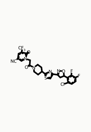 N#Cc1cc(C(F)(F)F)c(=O)n(CC(=O)N2CCC(c3nc(C4=NOC(c5c(Cl)ccc(F)c5F)C4)cs3)CC2)c1